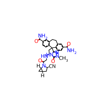 Cn1nc(C2(CCNCC(=O)N3C(C#N)C[C@@H]4C[C@@H]43)c3ccc(C(N)=O)cc3CCc3cc(C(N)=O)ccc32)[nH]c1=O